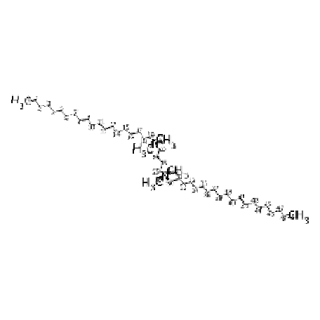 CCCCCCCCCCCCCCCCCCCC[N+](C)(C)CCCC[N+](C)(C)CCCCCCCCCCCCCCCCCCCC